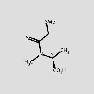 CSCC(=S)N(C)[C@@H](C)C(=O)O